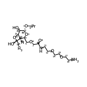 CC(C)O[C@@H]1OC(COCC(=O)NCCOCCOCCN)[C@@H]2C(OC2(C)O)C1O